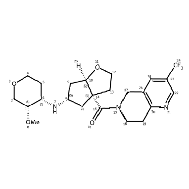 CO[C@@H]1COCC[C@@H]1N[C@@H]1C[C@H]2OCC[C@@]2(C(=O)N2CCc3ncc(C(F)(F)F)cc3C2)C1